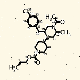 C=CCOC(=O)N1CCC(N2CC(C)N(C(C)=O)CC2Cc2ccc(Cl)cc2)CC1